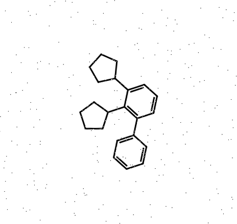 c1ccc(-c2cccc(C3CCCC3)c2C2CCCC2)cc1